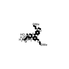 COCCCN1CCOc2ccc(CO[C@H]3CN(C(=O)O)[C@@](CC(C)(C)C(N)=O)(C(C)(C)C)C[C@@H]3c3ccc(COCCOC)cc3)cc21